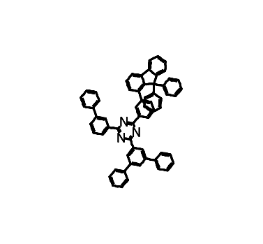 c1ccc(-c2cccc(-c3nc(-c4cc(-c5ccccc5)cc(-c5ccccc5)c4)nc(-c4cccc(-c5cccc6c5C(c5ccccc5)(c5ccccc5)c5ccccc5-6)c4)n3)c2)cc1